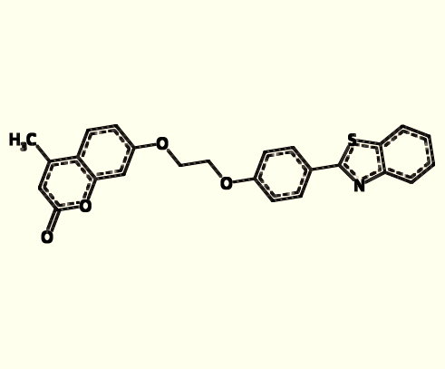 Cc1cc(=O)oc2cc(OCCOc3ccc(-c4nc5ccccc5s4)cc3)ccc12